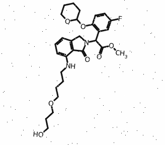 COC(=O)C(c1cc(F)ccc1OC1CCCCO1)N1Cc2cccc(NCCCCOCCCO)c2C1=O